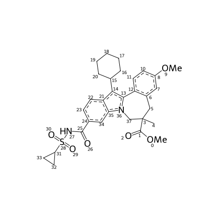 COC(=O)C1(C)Cc2cc(OC)ccc2-c2c(C3CCCCC3)c3ccc(C(=O)NS(=O)(=O)C4CC4)cc3n2C1